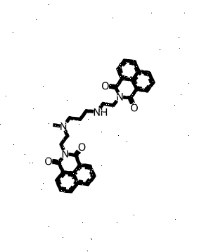 CN(CCCNCCN1C(=O)c2cccc3cccc(c23)C1=O)CCN1C(=O)c2cccc3cccc(c23)C1=O